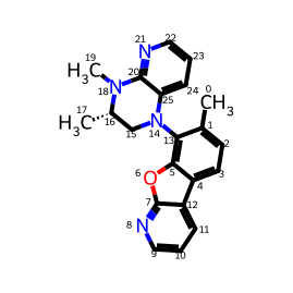 Cc1ccc2c(oc3ncccc32)c1N1C[C@H](C)N(C)c2ncccc21